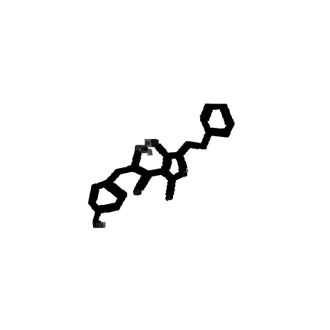 CC(Cc1ccc(C(C)(C)C)cc1)C(=O)C1=C(O)C(CCc2ccccc2)=NC1=O